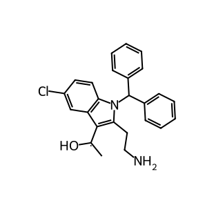 C[C](O)c1c(CCN)n(C(c2ccccc2)c2ccccc2)c2ccc(Cl)cc12